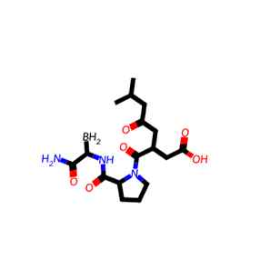 BC(NC(=O)C1CCCN1C(=O)C(CC(=O)O)CC(=O)CC(C)C)C(N)=O